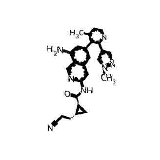 Cc1ccnc(-c2cnn(C)c2)c1-c1cc(N)c2cnc(NC(=O)[C@H]3C[C@@H]3CCC#N)cc2c1